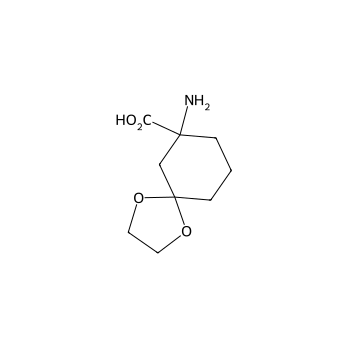 NC1(C(=O)O)CCCC2(C1)OCCO2